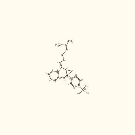 CN(C)CCON=C1c2ccccc2OC2(c3ccc(C(F)(F)F)cc3)CC12